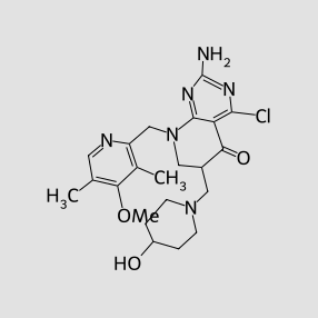 COc1c(C)cnc(CN2CC(CN3CCC(O)CC3)C(=O)c3c(Cl)nc(N)nc32)c1C